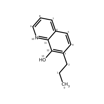 CCCc1ccc2cccnc2c1O